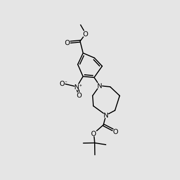 COC(=O)c1ccc(N2CCCN(C(=O)OC(C)(C)C)CC2)c([N+](=O)[O-])c1